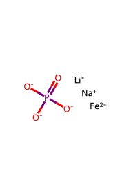 O=P([O-])([O-])[O-].[Fe+2].[Li+].[Na+]